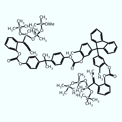 C=C=C(c1ccccc1OC(=O)Oc1cc(C2(c3ccc(C)c(OC(=O)Oc4ccc(C(C)(C)c5ccc(OC(=O)Oc6ccccc6C(=C=C)[Si](C)(O[Si](C)(C)C)O[Si](C)(C)O[Si](C)(C)OC)cc5)cc4)c3)c3ccccc3-c3ccccc32)ccc1C)[Si](C)(O[Si](C)(C)C)O[Si](C)(C)O[Si](C)(C)C